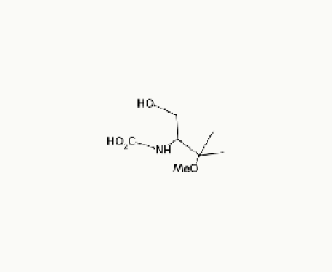 COC(C)(C)C(CO)NC(=O)O